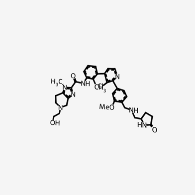 COc1cc(-c2nccc(-c3cccc(NC(=O)c4nc5c(n4C)CCN(CCO)C5)c3C)c2Cl)ccc1CNCC1CCC(=O)N1